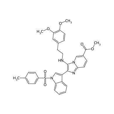 COC(=O)c1ccc2nc(-c3cn(S(=O)(=O)c4ccc(C)cc4)c4ccccc34)c(NCCc3ccc(OC)c(OC)c3)n2c1